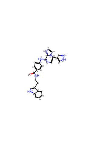 O=C(NCCc1c[nH]c2ccccc12)c1ccc(Nc2ncc(-c3cn[nH]c3)n3ccnc23)cc1